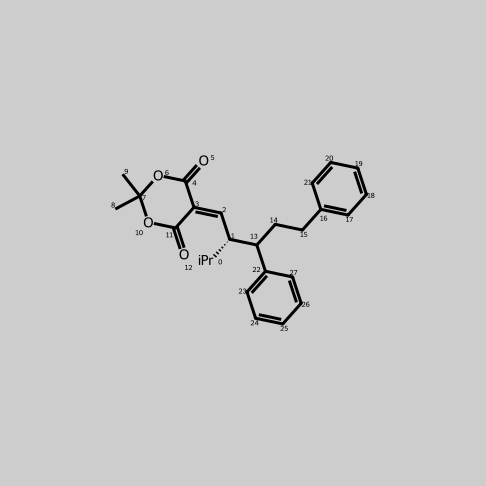 CC(C)[C@H](C=C1C(=O)OC(C)(C)OC1=O)C(CCc1ccccc1)c1ccccc1